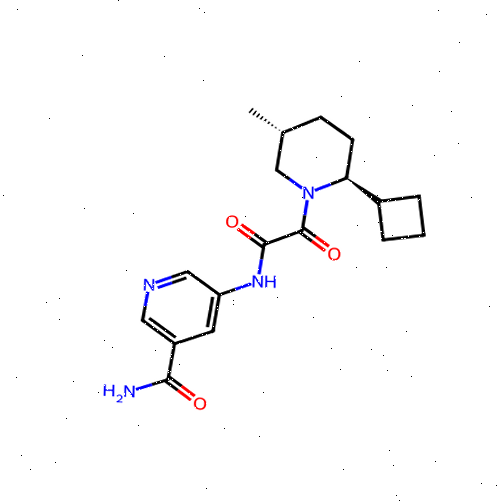 C[C@@H]1CC[C@@H](C2CCC2)N(C(=O)C(=O)Nc2cncc(C(N)=O)c2)C1